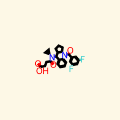 O=C(O)CCC(=O)N(C1CC1)C1c2ccccc2N(C(=O)c2cc(F)cc(F)c2)C2CCCC21